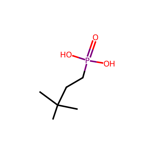 CC(C)(C)CCP(=O)(O)O